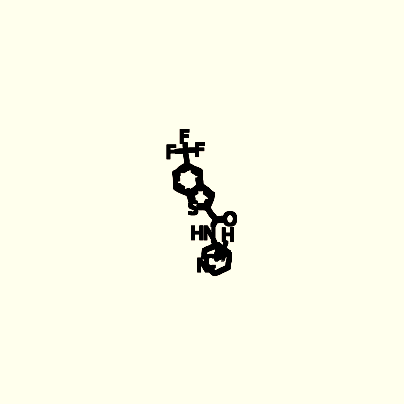 O=C(N[C@H]1CN2CCC1CC2)c1cc2cc(C(F)(F)F)ccc2s1